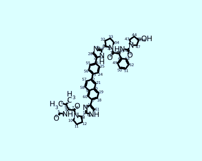 CC(C)[C@H](NC=O)C(=O)N1CCC[C@H]1c1nc(-c2ccc3cc(-c4ccc(-c5cnc([C@@H]6CCCN6C(=O)[C@H](NC(=O)N6CC[C@H](O)C6)c6ccccc6)[nH]5)cc4)ccc3c2)c[nH]1